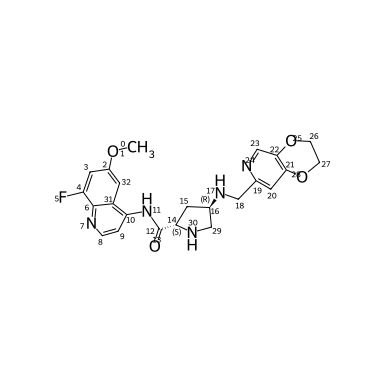 COc1cc(F)c2nccc(NC(=O)[C@@H]3C[C@@H](NCc4cc5c(cn4)OCCO5)CN3)c2c1